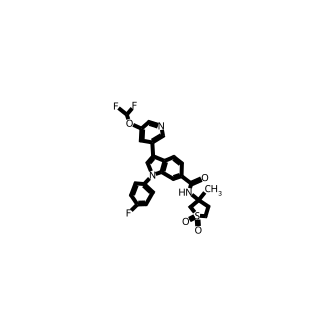 CC1(NC(=O)c2ccc3c(-c4cncc(OC(F)F)c4)cn(-c4ccc(F)cc4)c3c2)CCS(=O)(=O)C1